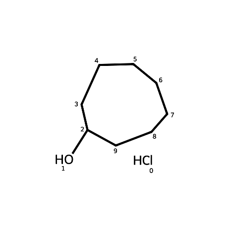 Cl.OC1CCCCCCC1